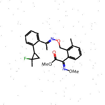 CO/N=C(/C(=O)OC)c1cccc(C)c1CO/N=C(\C)c1ccccc1C1CC1(C)F